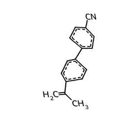 C=C(C)c1ccc(-c2ccc(C#N)cc2)cc1